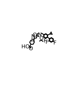 CC(C)Oc1c(CN2CC3(CC(N4CCC(C(=O)O)CC4)=NO3)C2)cc(C2CC2)c(-c2ccc(F)cc2F)c1F